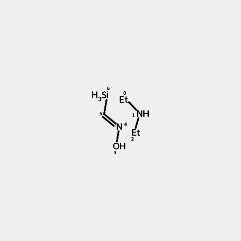 CCNCC.ON=C[SiH3]